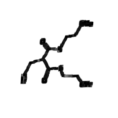 C#CCC(C(=O)SCCOC)C(=O)SCCOC